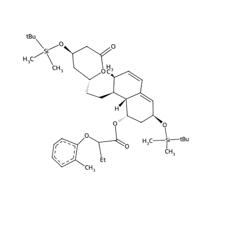 CCC(Oc1ccccc1C)C(=O)O[C@H]1C[C@H](O[Si](C)(C)C(C)(C)C)C=C2C=C[C@H](C)[C@H](CC[C@@H]3C[C@@H](O[Si](C)(C)C(C)(C)C)CC(=O)O3)[C@H]21